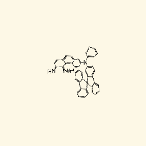 N=C1C=Cc2ccc3cc(N(c4ccccc4)c4ccc5c(c4)C4(c6ccccc6-c6ccccc64)c4ccccc4-5)ccc3c2C1=N